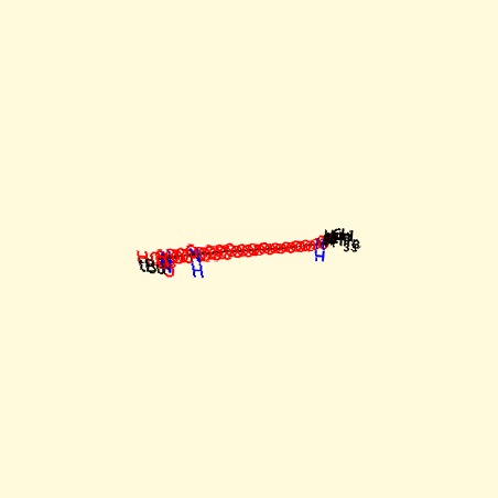 CC(C)CCC[C@H](C)[C@@H]1CC[C@@H]2[C@H]3CC=C4CC(OC(=O)NCCOCCOCCOCCOCCOCCOCCOCCOCCOCCOCCOCCOCCOCCOCCOCCOCCOCCOCCOCCOCCOCCOCCOCCNC(=O)CCOCCOCCOCCOCCN(CCOCCO)C(=O)CCN5C(=O)CC(C(C)(C)C)C5=O)CC[C@@]4(C)[C@@H]3CC[C@]21C